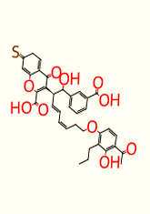 CCCc1c(OCC/C=C\C=C\[C@@H](c2c(C(=O)O)oc3c(c2=O)=CCC(=S)C=3)[C@@H](O)c2cccc(C(=O)O)c2)ccc(C(C)=O)c1O